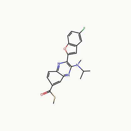 CSC(=O)c1ccc2nc(-c3cc4cc(F)ccc4o3)c(N(C)C(C)C)nc2c1